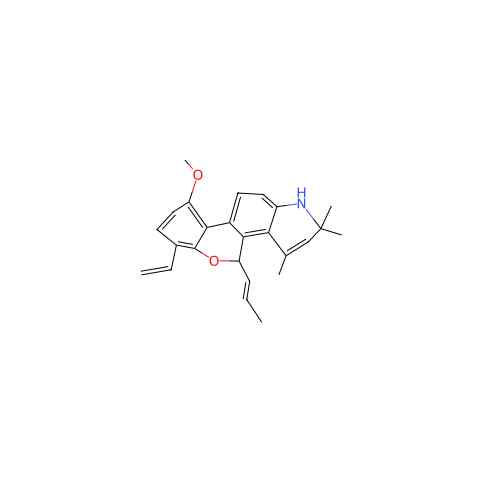 C=Cc1ccc(OC)c2c1OC(C=CC)c1c-2ccc2c1C(C)=CC(C)(C)N2